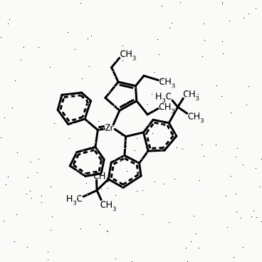 CCC1=C(CC)C(CC)=[C]([Zr](=[C](c2ccccc2)c2ccccc2)[CH]2c3cc(C(C)(C)C)ccc3-c3ccc(C(C)(C)C)cc32)C1